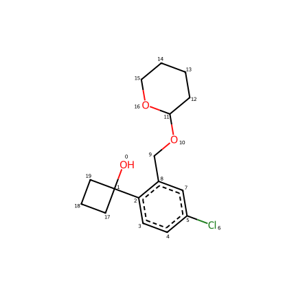 OC1(c2ccc(Cl)cc2COC2CCCCO2)CCC1